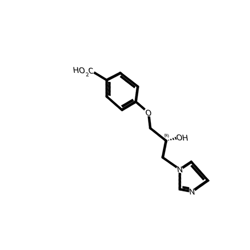 O=C(O)c1ccc(OC[C@H](O)Cn2ccnc2)cc1